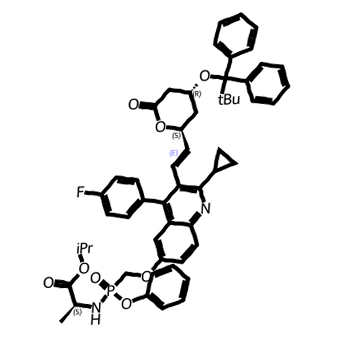 CC(C)OC(=O)[C@H](C)NP(=O)(COc1ccc2nc(C3CC3)c(/C=C/[C@@H]3C[C@@H](OC(c4ccccc4)(c4ccccc4)C(C)(C)C)CC(=O)O3)c(-c3ccc(F)cc3)c2c1)Oc1ccccc1